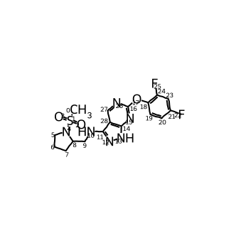 CS(=O)(=O)N1CCCC1CNc1n[nH]c2nc(Oc3ccc(F)cc3F)ncc12